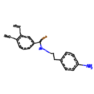 CCCCCc1cc(C(=S)NCCc2ccc(N)cc2)ccc1OC